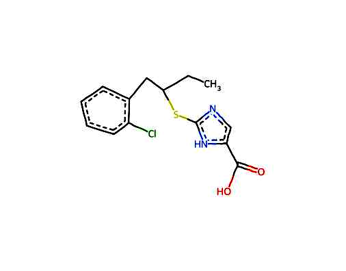 CCC(Cc1ccccc1Cl)Sc1ncc(C(=O)O)[nH]1